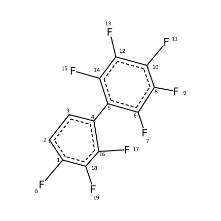 Fc1[c]cc(-c2c(F)c(F)c(F)c(F)c2F)c(F)c1F